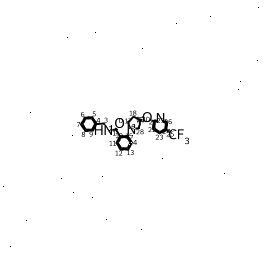 O=C(NCc1ccccc1)c1ccccc1N1CC[C@H](Oc2ccc(C(F)(F)F)cn2)C1